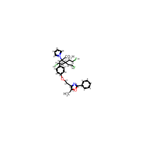 Cc1oc(-c2ccccc2)nc1CCOc1ccc(CC(C(=O)O)(n2cccc2)C(CCF)(CCF)CCF)cc1